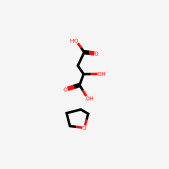 C1CCOC1.O=C(O)CC(O)C(=O)O